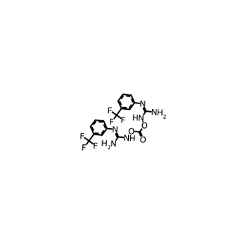 NC(=Nc1cccc(C(F)(F)F)c1)NOC(=O)ONC(N)=Nc1cccc(C(F)(F)F)c1